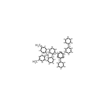 Cc1ccc([Si]2(c3ccc(C)cc3)c3ccccc3-c3c(-c4nc(-c5ccccc5)nc(-c5cccc(-c6ccccc6)c5)n4)cccc32)cc1